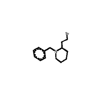 BrCCC1CCCCN1Cc1ccccc1